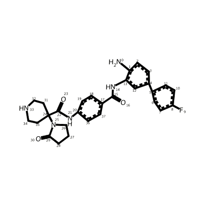 Nc1ccc(-c2ccc(F)cc2)cc1NC(=O)c1ccc(NC(=O)C2(N3CCCC3=O)CCNCC2)cc1